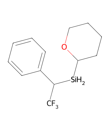 FC(F)(F)C([SiH2]C1CCCCO1)c1ccccc1